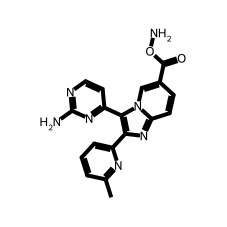 Cc1cccc(-c2nc3ccc(C(=O)ON)cn3c2-c2ccnc(N)n2)n1